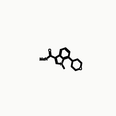 CNC(=O)c1cn(C)c2c(C3CCOCC3)cccc12